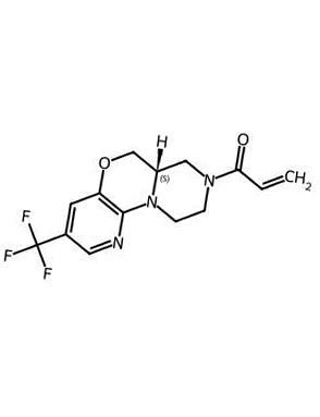 C=CC(=O)N1CCN2c3ncc(C(F)(F)F)cc3OC[C@@H]2C1